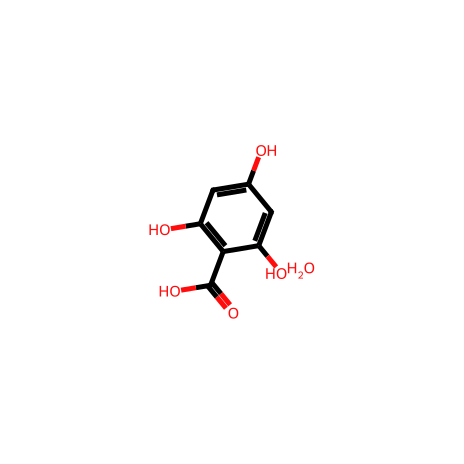 O.O=C(O)c1c(O)cc(O)cc1O